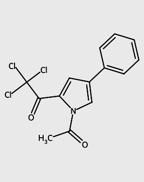 CC(=O)n1cc(-c2ccccc2)cc1C(=O)C(Cl)(Cl)Cl